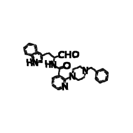 O=CC(Cc1c[nH]c2ccccc12)NC(=O)c1cccnc1N1CCN(Cc2ccccc2)CC1